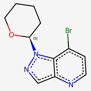 Brc1ccnc2cnn([C@@H]3CCCCO3)c12